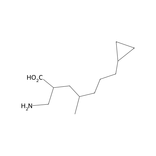 CC(CCCC1CC1)CC(CN)C(=O)O